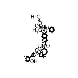 CCCOC(=O)[C@H](C)NP(=O)(Cc1ccc2sc(C(=O)N[C@H]3CCC[C@H]4CC[C@@H](C(=O)N5CC(c6cnccc6O)C5)N4C3=O)cc2c1)Oc1ccccc1